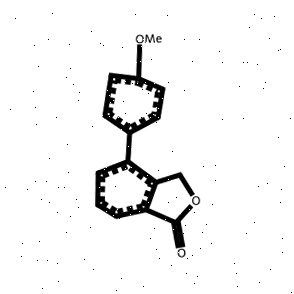 COc1ccc(-c2cccc3c2COC3=O)cc1